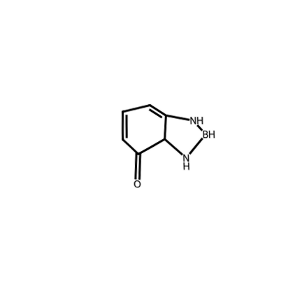 O=C1C=CC=C2NBNC12